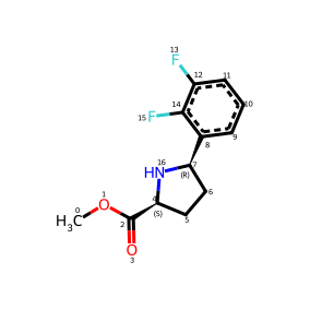 COC(=O)[C@@H]1CC[C@H](c2cccc(F)c2F)N1